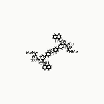 CN[C@@H](C)C(=O)N[C@H](C(=O)N1CCN(c2ccc(S(=O)(=O)c3ccc(N4CCN(C(=O)[C@@H](NC(=O)[C@H](C)NC)C(C)(C)C)[C@H](C(=O)N[C@@H]5CCCc6ccccc65)C4)cc3)cc2)C[C@H]1C(=O)N[C@@H]1CCCc2ccccc21)C(C)(C)C